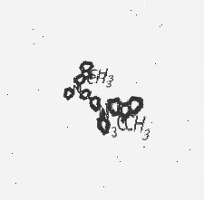 CC1(C)c2ccccc2-c2ccc(N(c3ccccc3)c3ccc(-c4ccc(N(c5ccccc5)c5ccc6c(c5)C(C)(C)C5C=CC=CC65)cc4)cc3)cc21